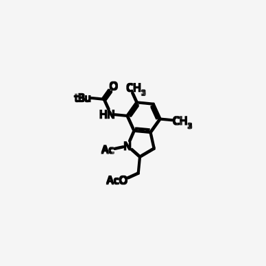 CC(=O)OCC1Cc2c(C)cc(C)c(NC(=O)C(C)(C)C)c2N1C(C)=O